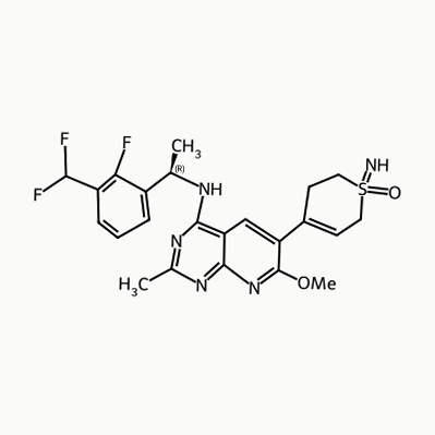 COc1nc2nc(C)nc(N[C@H](C)c3cccc(C(F)F)c3F)c2cc1C1=CCS(=N)(=O)CC1